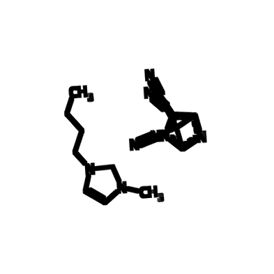 CCCCN1C=CN(C)C1.N#Cc1[nH]c2nc1C2(C#N)C#N